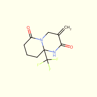 C=C1CN2C(=O)CCCC2(C(F)(F)F)NC1=O